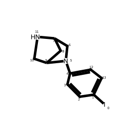 Ic1ccc(N2CC3CC2CN3)cc1